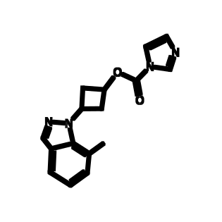 Cc1cccc2cnn(C3CC(OC(=O)n4ccnc4)C3)c12